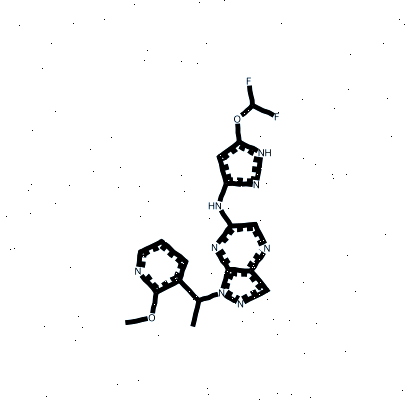 COc1ncccc1C(C)n1ncc2ncc(Nc3cc(OC(F)F)[nH]n3)nc21